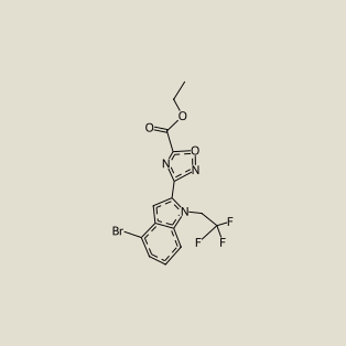 CCOC(=O)c1nc(-c2cc3c(Br)cccc3n2CC(F)(F)F)no1